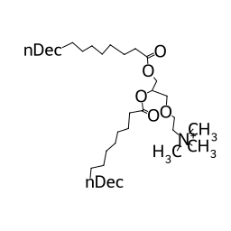 CCCCCCCCCCCCCCCCCC(=O)OCC(COCC[N+](C)(C)C)OC(=O)CCCCCCCCCCCCCCCCC